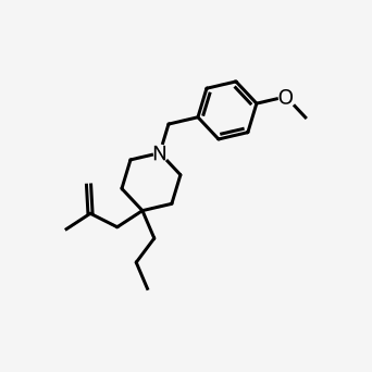 C=C(C)CC1(CCC)CCN(Cc2ccc(OC)cc2)CC1